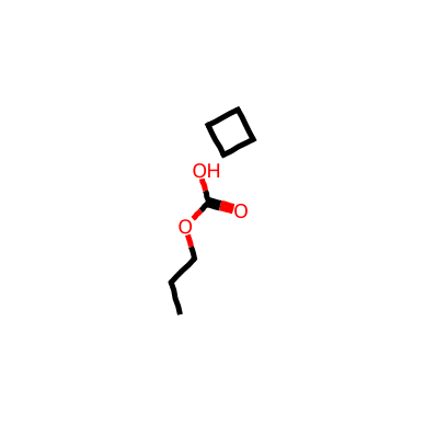 C1CCC1.CCCOC(=O)O